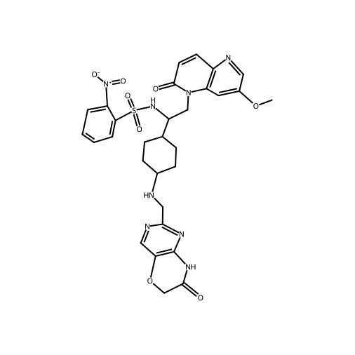 COc1cnc2ccc(=O)n(CC(NS(=O)(=O)c3ccccc3[N+](=O)[O-])C3CCC(NCc4ncc5c(n4)NC(=O)CO5)CC3)c2c1